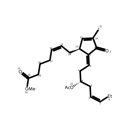 CC/C=C\C[C@@H](C/C=C1/C(=O)C(I)=C[C@@H]1C/C=C\CCCC(=O)OC)OC(C)=O